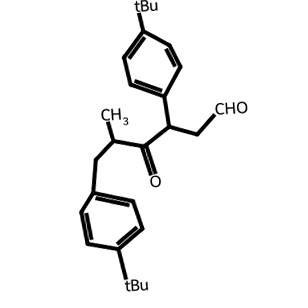 CC(Cc1ccc(C(C)(C)C)cc1)C(=O)C(CC=O)c1ccc(C(C)(C)C)cc1